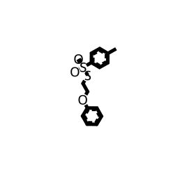 Cc1ccc(S(=O)(=O)SCCOc2ccccc2)cc1